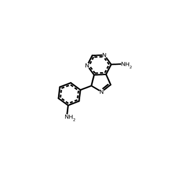 Nc1cccc(C2N=Cc3c(N)ncnc32)c1